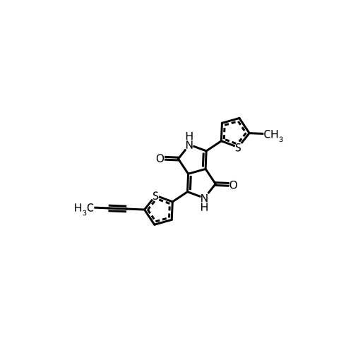 CC#Cc1ccc(C2=C3C(=O)NC(c4ccc(C)s4)=C3C(=O)N2)s1